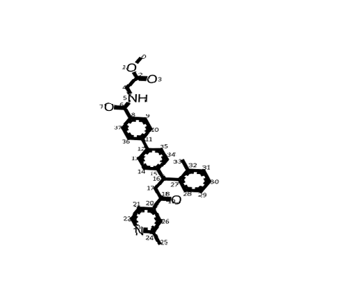 COC(=O)CNC(=O)c1ccc(-c2ccc(C(CC(=O)c3ccnc(C)c3)c3ccccc3C)cc2)cc1